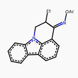 CCC1Cn2c3ccccc3c3cccc(c32)/C1=N/OC(C)=O